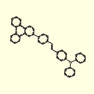 C(=Cc1ccc(N(c2ccccc2)c2ccccc2)cc1)c1ccc(-c2ccc3c4ccccc4c4ccccc4c3c2)cc1